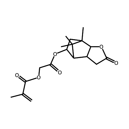 C=C(C)C(=O)OCC(=O)OC1CC2(C)C3OC(=O)CC3C1C2(C)C